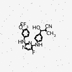 C=C(C#N)C(O)c1ccc(Nc2nc(Nc3cccc(OC(F)(F)F)c3)ncc2F)cc1